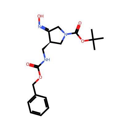 CC(C)(C)OC(=O)N1CC(=NO)[C@H](CNC(=O)OCc2ccccc2)C1